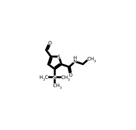 CCNC(=O)c1sc(C=O)cc1[Si](C)(C)C